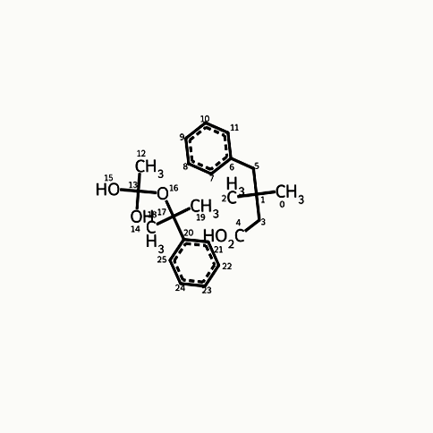 CC(C)(CC(=O)O)Cc1ccccc1.CC(O)(O)OC(C)(C)c1ccccc1